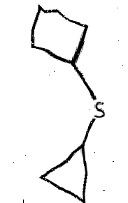 C1CC(SC2CC2)C1